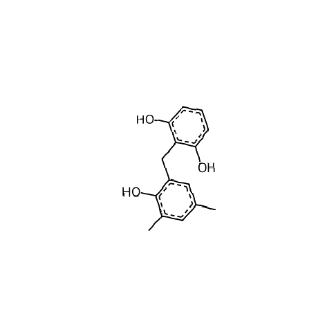 Cc1cc(C)c(O)c(Cc2c(O)cccc2O)c1